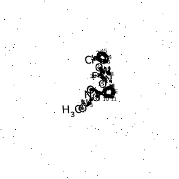 CO/N=C/C1=NOCC(c2ccccc2Oc2ncnc(Oc3ccccc3Cl)c2F)O1